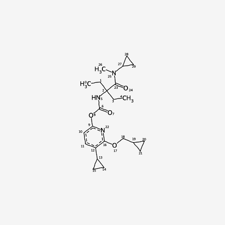 CCC(CC)(NC(=O)Oc1ccc(C2CC2)c(OCC2CC2)n1)C(=O)N(C)C1CC1